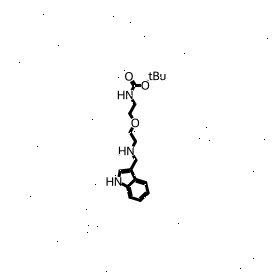 CC(C)(C)OC(=O)NCCOCCNCc1c[nH]c2ccccc12